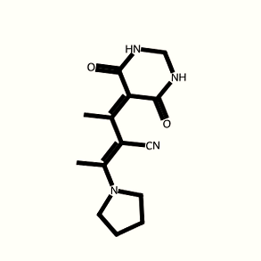 CC(=C1C(=O)NCNC1=O)/C(C#N)=C(\C)N1CCCC1